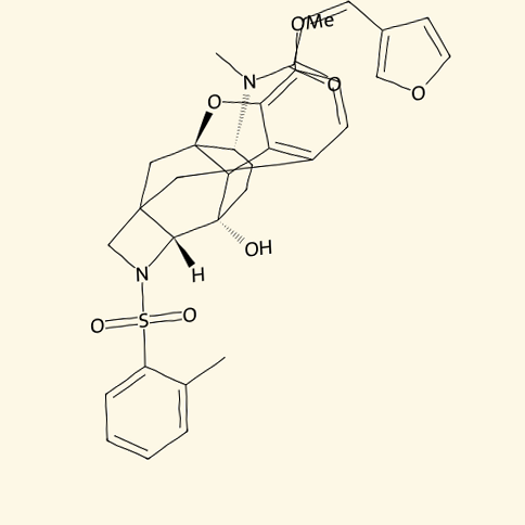 COc1ccc2c3c1O[C@@]14CC5(C2)CN(S(=O)(=O)c2ccccc2C)[C@H]5[C@](O)(CC[C@H]1N(C)C(=O)/C=C\c1ccoc1)C34